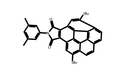 Cc1cc(C)cc(-n2c(=O)c3c4cc(C(C)(C)C)c5ccc6ccc7c(C(C)(C)C)cc(c3c2=O)c2c7c6c5c42)c1